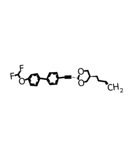 C=CCC[C@H]1CO[C@H](C#Cc2ccc(-c3ccc(OC(F)F)cc3)cc2)OC1